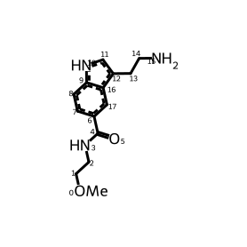 COCCNC(=O)c1ccc2[nH]cc(CCN)c2c1